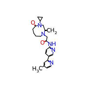 C=C1CN(C2CC2)C(=O)CCCCN1CC(=O)Nc1ccc(-c2cc(C)ccn2)cn1